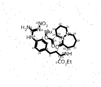 CCOC(=O)[C@H](CCc1ccc(NC(N)=N[N+](=O)[O-])cc1)N[C@H]1CCCN2CCC[C@@H](C(=O)OC(C)(C)C)N2C1=O